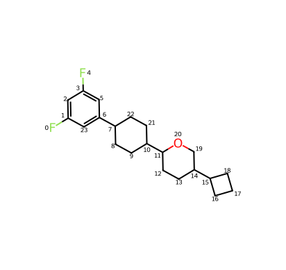 Fc1cc(F)cc(C2CCC(C3CCC(C4CCC4)CO3)CC2)c1